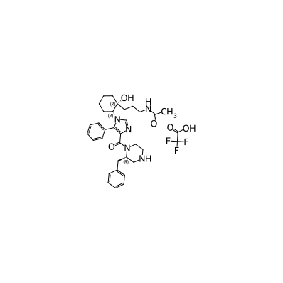 CC(=O)NCCC[C@]1(O)CCCC[C@H]1n1cnc(C(=O)N2CCNC[C@H]2Cc2ccccc2)c1-c1ccccc1.O=C(O)C(F)(F)F